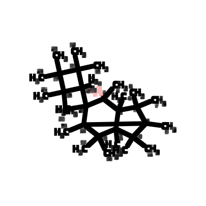 B[C@]1(C)C2(C)C(C)(C)C3(C)C(C)(C)C2(C)C(C)(C)C3(C)C1(C)C1(C)C(C)(C)C(C)(C)C1(C)C